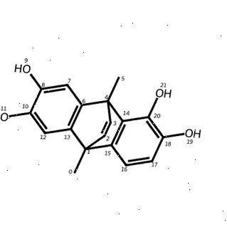 CC12C=CC(C)(c3cc(O)c(O)cc31)c1c2ccc(O)c1O